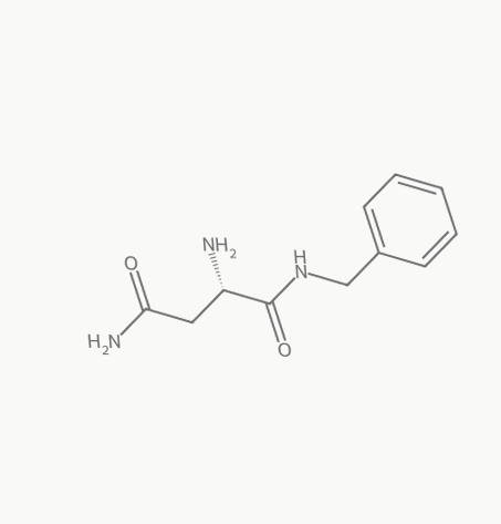 NC(=O)C[C@H](N)C(=O)NCc1ccccc1